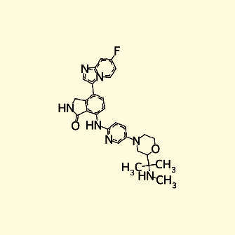 CNC(C)(C)C1CN(c2ccc(Nc3ccc(-c4cnc5cc(F)ccn45)c4c3C(=O)NC4)nc2)CCO1